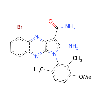 COc1ccc(C)c(-n2c(N)c(C(N)=O)c3nc4c(Br)cccc4nc32)c1C